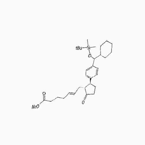 COC(=O)CCCC=CC[C@H]1C(=O)CC[C@@H]1c1ccc(C(O[Si](C)(C)C(C)(C)C)C2CCCCC2)cc1